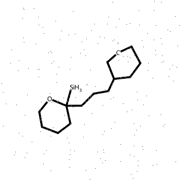 [SiH3]C1(CCCC2CCCCC2)CCCCO1